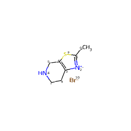 CC1=[N+]C2=C(CNCC2)S1.[Br-]